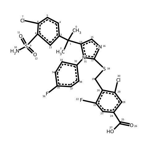 CC(C)(c1ccc(Cl)c(S(N)(=O)=O)c1)c1cnc(SCc2c(F)cc(C(=O)O)cc2Cl)n1-c1ccc(F)cc1